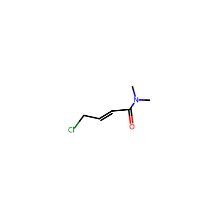 CN(C)C(=O)C=CCCl